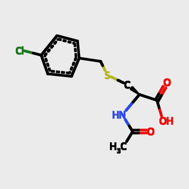 CC(=O)N[C@@H](CSCc1ccc(Cl)cc1)C(=O)O